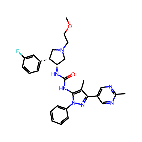 COCCN1C[C@@H](NC(=O)Nc2c(C)c(-c3cnc(C)nc3)nn2-c2ccccc2)[C@H](c2cccc(F)c2)C1